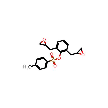 Cc1ccc(S(=O)(=O)Oc2c(CC3CO3)cccc2CC2CO2)cc1